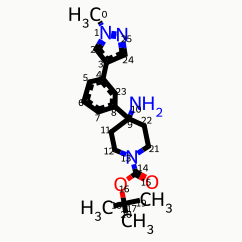 Cn1cc(-c2cccc(C3(N)CCN(C(=O)OC(C)(C)C)CC3)c2)cn1